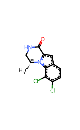 C[C@@H]1CNC(=O)c2cc3ccc(Cl)c(Cl)c3n21